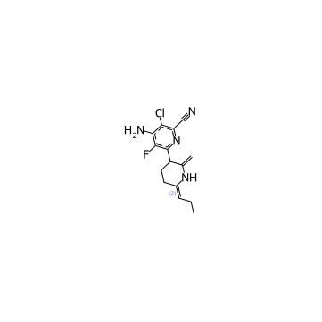 C=C1N/C(=C\CC)CCC1c1nc(C#N)c(Cl)c(N)c1F